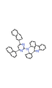 c1ccc2c(c1)-c1nc3ccccc3c3cccc(c13)N2c1nc(-c2ccc3ccccc3c2)cc(-c2cccc3ccccc23)n1